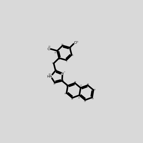 Clc1ccc(Cc2nc(-c3ccc4ccccc4c3)c[nH]2)c(Cl)c1